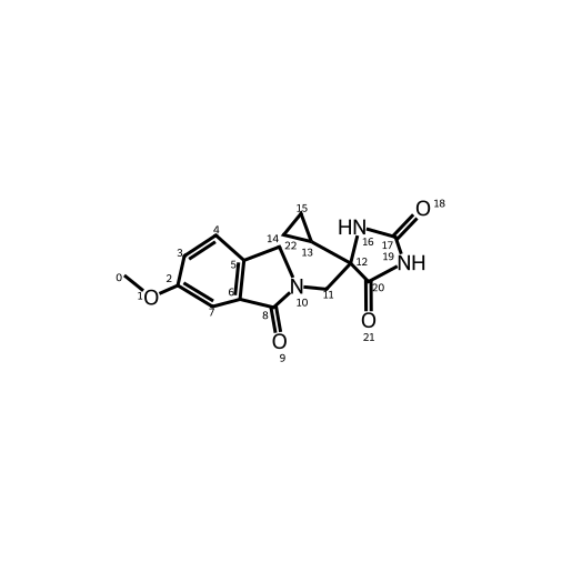 COc1ccc2c(c1)C(=O)N(CC1(C3CC3)NC(=O)NC1=O)C2